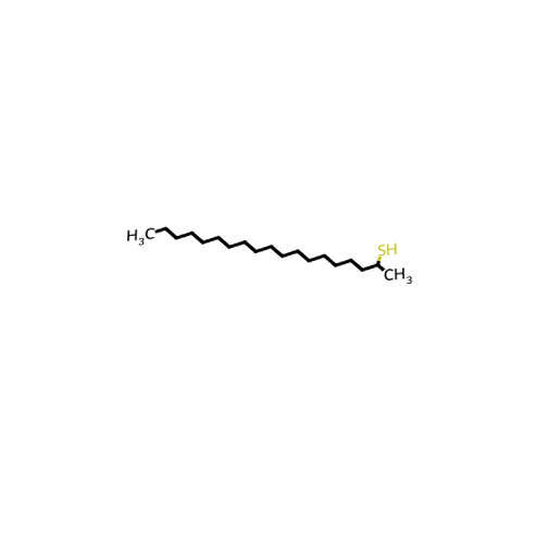 CCCCCCCCCCCCCCCCCC(C)S